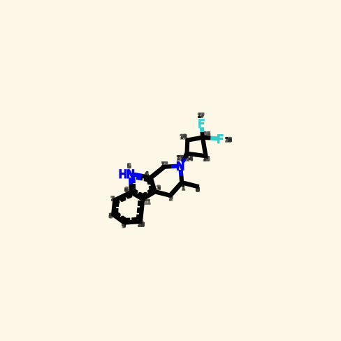 CC1Cc2c([nH]c3ccccc23)CN1C1CC(F)(F)C1